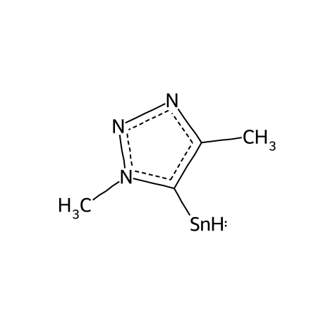 Cc1nnn(C)[c]1[SnH]